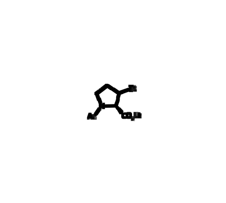 CCOC(=O)[C@@H]1C(CC)CCN1C(C)=O